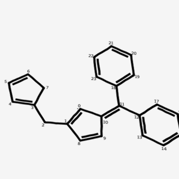 [C]1=C(CC2=CC=CC2)C=CC1=C(c1ccccc1)c1ccccc1